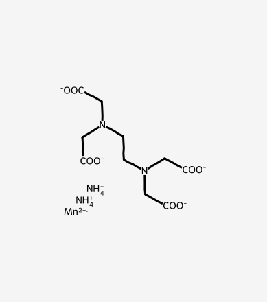 O=C([O-])CN(CCN(CC(=O)[O-])CC(=O)[O-])CC(=O)[O-].[Mn+2].[NH4+].[NH4+]